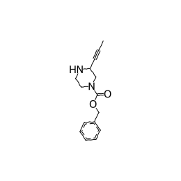 CC#CC1CN(C(=O)OCc2ccccc2)CCN1